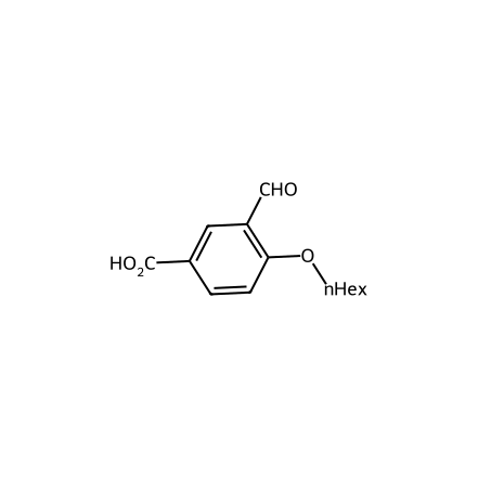 CCCCCCOc1ccc(C(=O)O)cc1C=O